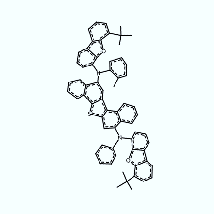 Cc1ccccc1N(c1cc2c(sc3cc(N(c4ccccc4)c4cccc5c4oc4c(C(C)(C)C)cccc45)c4ccccc4c32)c2ccccc12)c1cccc2c1oc1c(C(C)(C)C)cccc12